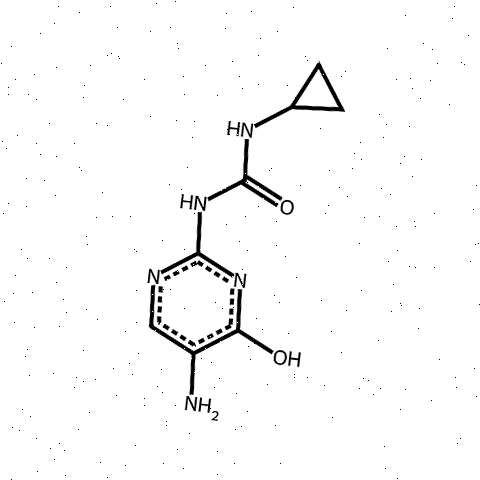 Nc1cnc(NC(=O)NC2CC2)nc1O